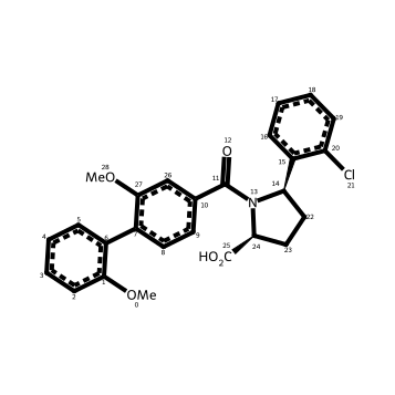 COc1ccccc1-c1ccc(C(=O)N2[C@@H](c3ccccc3Cl)CC[C@H]2C(=O)O)cc1OC